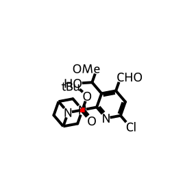 COC(O)c1c(C=O)cc(Cl)nc1N1CC2CC(C1)N2C(=O)OC(C)(C)C